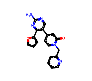 Nc1ncc(-c2ccn(Cc3ccccn3)c(=O)c2)c(-c2ccco2)n1